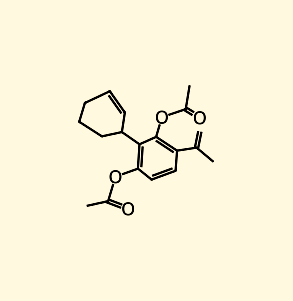 C=C(C)c1ccc(OC(C)=O)c(C2C=CCCC2)c1OC(C)=O